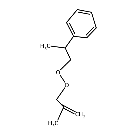 C=C(C)COOCC(C)c1ccccc1